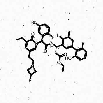 CCOC(=O)C[C@H](NC(=O)C(c1cc(Br)ccc1F)n1cc(CCN2CC(F)C2)cc(CC)c1=O)C1=C(F)C(C)CC(c2c(C)cccc2O)=C1